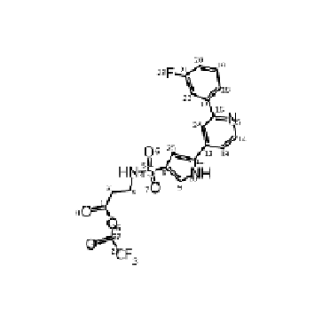 O=C(CCNS(=O)(=O)c1c[nH]c(-c2ccnc(-c3cccc(F)c3)c2)c1)OC(=O)C(F)(F)F